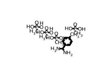 CP(=O)(O)O.CP(=O)(O)O.CP(=O)(O)O.CP(=O)(O)O.Cc1ccc(C(N)N)cc1